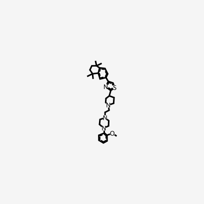 COc1ccccc1N1CCN(CCN2CCC(c3nc(-c4ccc5c(c4)C(C)(C)CCC5(C)C)cs3)CC2)CC1